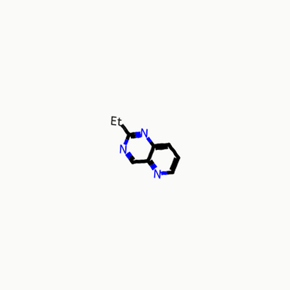 CCc1ncc2ncccc2n1